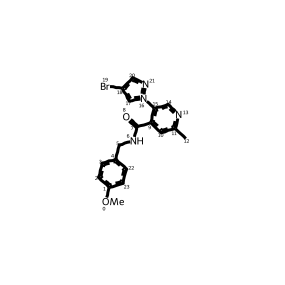 COc1ccc(CNC(=O)c2cc(C)ncc2-n2cc(Br)cn2)cc1